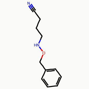 N#CCCCNOCc1ccccc1